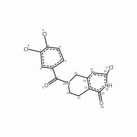 O=C(c1ccc(Cl)c(Cl)c1)N1CCc2c(nc(Cl)[nH]c2=O)C1